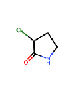 O=C1NCCC1Cl